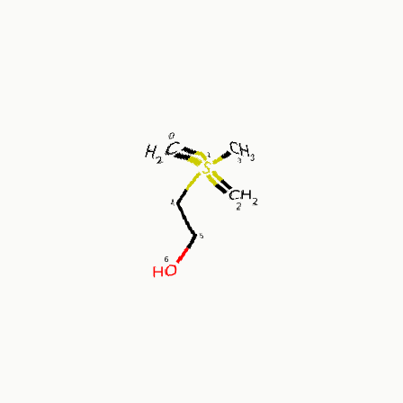 C=S(=C)(C)CCO